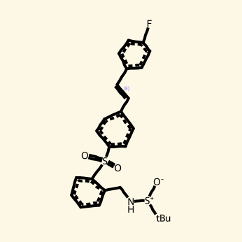 CC(C)(C)[S+]([O-])NCc1ccccc1S(=O)(=O)c1ccc(/C=C/c2ccc(F)cc2)cc1